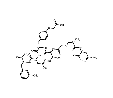 CC(=O)[C@H](Cc1cccc(C)c1)NC(=O)[C@H](CC(=O)O)NC(=O)[C@H](Cc1ccc(OCC(=O)O)cc1)NC(=O)[C@@H](NC(=O)CSC[C@H](C)C(=O)N[C@H](CC(N)=O)C(N)=O)C(C)O